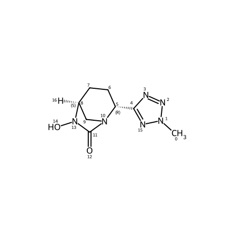 Cn1nnc([C@H]2CC[C@H]3CN2C(=O)N3O)n1